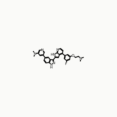 CN(C)CCOc1cc(F)cc(-c2ccnc3[nH]c(-c4n[nH]c5ccc(-c6cncc(N(C)C)c6)cc45)cc23)c1